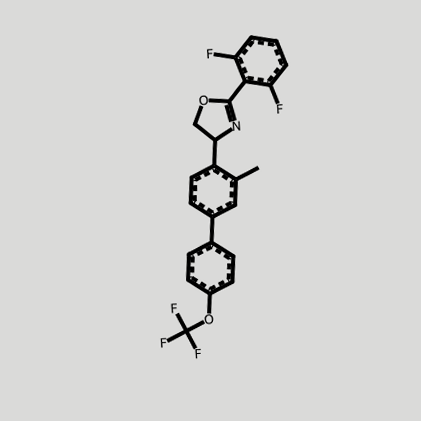 Cc1cc(-c2ccc(OC(F)(F)F)cc2)ccc1C1COC(c2c(F)cccc2F)=N1